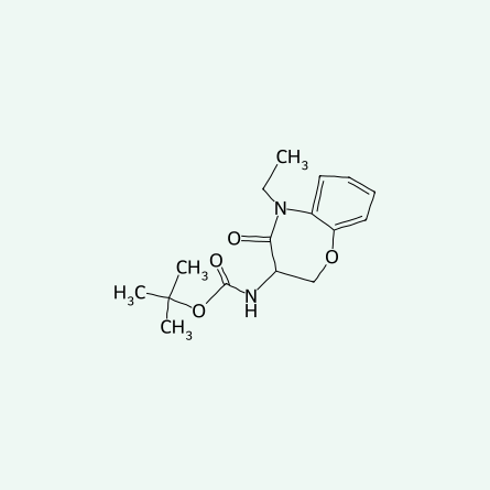 CCN1C(=O)C(NC(=O)OC(C)(C)C)COc2ccccc21